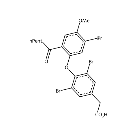 CCCCCC(=O)c1cc(OC)c(C(C)C)cc1Oc1c(Br)cc(CC(=O)O)cc1Br